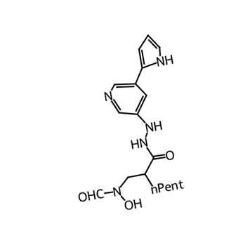 CCCCCC(CN(O)C=O)C(=O)NNc1cncc(-c2ccc[nH]2)c1